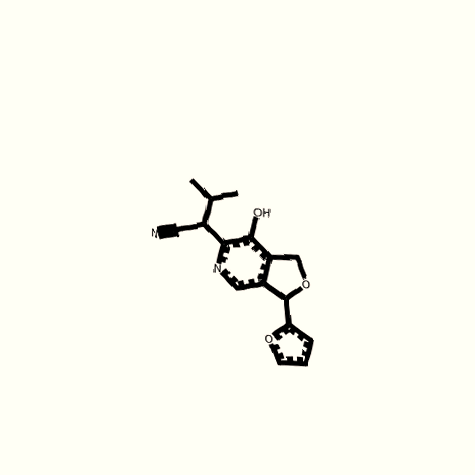 CC(C)C(C#N)c1ncc2c(c1O)COC2c1ccco1